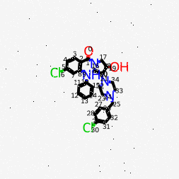 O=C(c1ccc(Cl)cc1Nc1ccccc1)N1C[C@@H](O)[C@H](N2CCN(Cc3ccc(Cl)cc3)CC2)C1